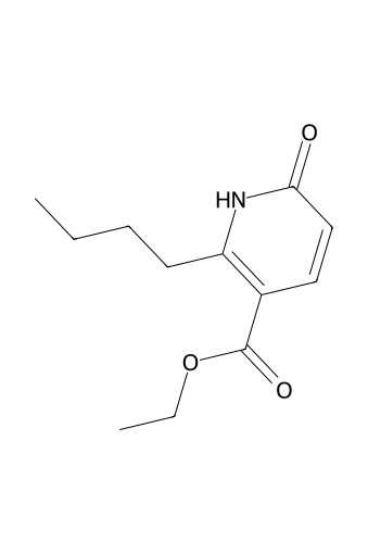 CCCCc1[nH]c(=O)ccc1C(=O)OCC